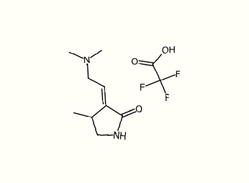 CC1CNC(=O)/C1=C/CN(C)C.O=C(O)C(F)(F)F